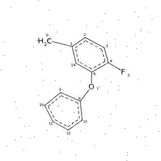 [CH2]c1ccc(F)c(Oc2ccccc2)c1